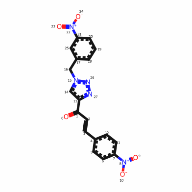 O=C(C=Cc1ccc([N+](=O)[O-])cc1)c1cn(Cc2cccc([N+](=O)[O-])c2)nn1